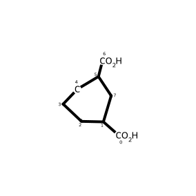 O=C(O)C1[CH]CCC(C(=O)O)C1